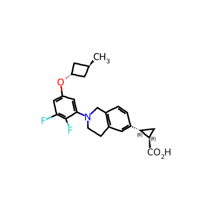 C[C@H]1C[C@H](Oc2cc(F)c(F)c(N3CCc4cc([C@@H]5C[C@H]5C(=O)O)ccc4C3)c2)C1